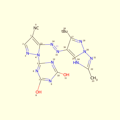 [C-]#[N+]c1cnn(-c2nc(O)nc(O)n2)c1/N=N/c1c(C(C)(C)C)nn2nc(C)[nH]c12